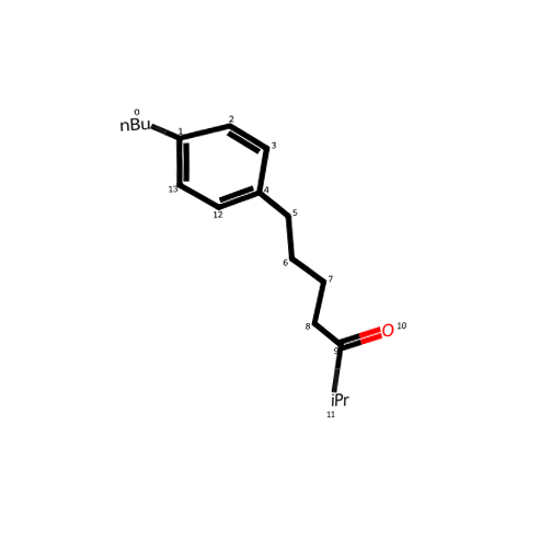 CCCCc1ccc(CCCCC(=O)C(C)C)cc1